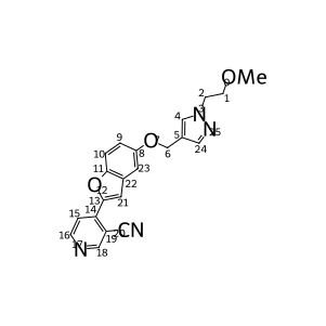 COCCn1cc(COc2ccc3oc(-c4ccncc4C#N)cc3c2)cn1